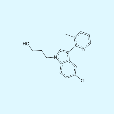 Cc1cccnc1-c1cn(CCCO)c2ccc(Cl)cc12